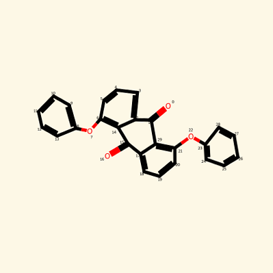 O=C1c2cccc(Oc3ccccc3)c2C(=O)c2cccc(Oc3ccccc3)c21